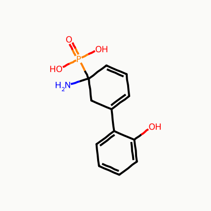 NC1(P(=O)(O)O)C=CC=C(c2ccccc2O)C1